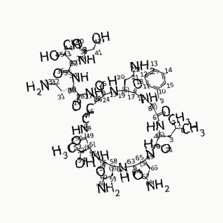 CC(C)C[C@@H]1NC(=O)[C@@H](Cc2ccccc2)NC(=O)[C@H](CCN)NC(=O)[C@@H](NC(=O)[C@H](CCN)NC(=O)[C@@H](NC(=O)CO)C(C)O)CCNC(=O)[C@H](C(C)O)NC(=O)[C@H](CCN)NC(=O)[C@H](CCN)NC1=O